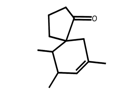 CC1=CC(C)C(C)C2(CCCC2=O)C1